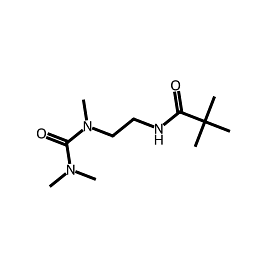 CN(C)C(=O)N(C)CCNC(=O)C(C)(C)C